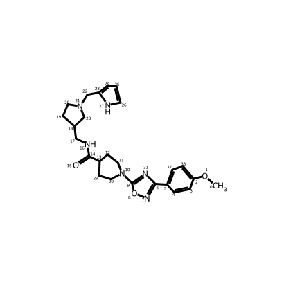 COc1ccc(-c2noc(N3CCC(C(=O)NCC4CCN(Cc5ccc[nH]5)C4)CC3)n2)cc1